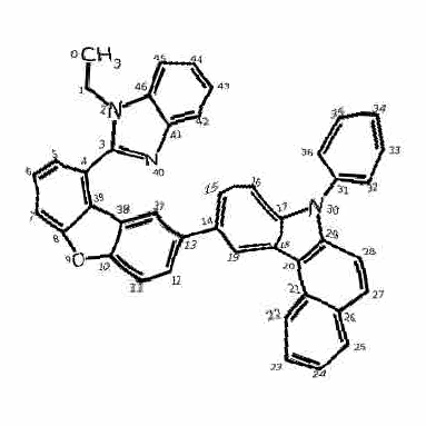 CCn1c(-c2cccc3oc4ccc(-c5ccc6c(c5)c5c7ccccc7ccc5n6-c5ccccc5)cc4c23)nc2ccccc21